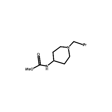 COC(=O)NC1CCN(CC(C)C)CC1